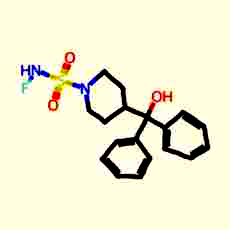 O=S(=O)(NF)N1CCC(C(O)(c2ccccc2)c2ccccc2)CC1